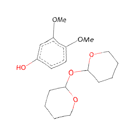 C1CCC(OC2CCCCO2)OC1.COc1ccc(O)cc1OC